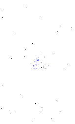 N#C/N=C(\NCc1cccnc1)NCC1(c2ccccc2)CCCCC1